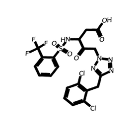 O=C(O)CC(NS(=O)(=O)c1ccccc1C(F)(F)F)C(=O)Cn1nnc(Cc2c(Cl)cccc2Cl)n1